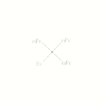 CCCC(Br)(CCC)CCC